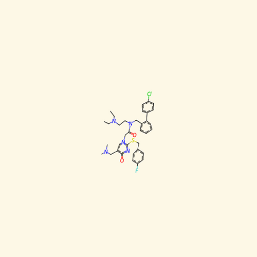 CCN(CC)CCN(Cc1ccccc1-c1ccc(Cl)cc1)C(=O)Cn1cc(CN(C)C)c(=O)nc1SCc1ccc(F)cc1